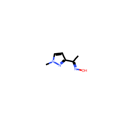 C/C(=N\O)c1ccn(C)n1